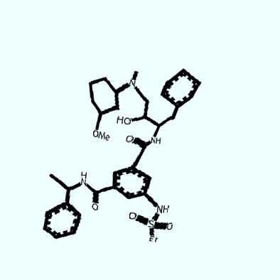 CCS(=O)(=O)Nc1cc(C(=O)NC(C)c2ccccc2)cc(C(=O)NC(Cc2ccccc2)C(O)CN(C)C2CCCC(OC)C2)c1